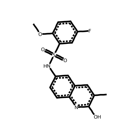 COc1ccc(F)cc1S(=O)(=O)Nc1ccc2nc(O)c(C)cc2c1